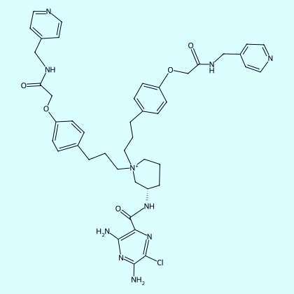 Nc1nc(N)c(C(=O)N[C@H]2CCC[N+](CCCc3ccc(OCC(=O)NCc4ccncc4)cc3)(CCCc3ccc(OCC(=O)NCc4ccncc4)cc3)C2)nc1Cl